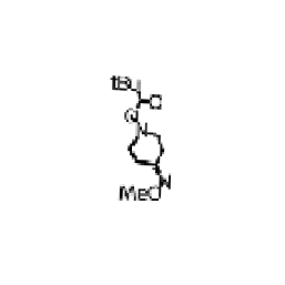 CON=C1CCN(OC(=O)C(C)(C)C)CC1